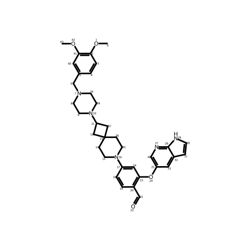 COc1ccc(CN2CCN(C3CC4(CCN(c5ccc(C=O)c(Oc6cnc7[nH]ccc7c6)c5)CC4)C3)CC2)cc1OC